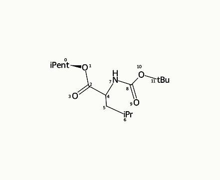 CCC[C@H](C)OC(=O)C(CC(C)C)NC(=O)OC(C)(C)C